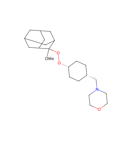 COC1(OO[C@H]2CC[C@@H](CN3CCOCC3)CC2)C2CC3CC(C2)CC1C3